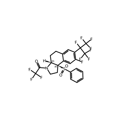 O=C(N1CC[C@@]2(S(=O)(=O)c3ccccc3)c3cc(F)c(C(F)(C(F)(F)F)C(F)(F)F)cc3CC[C@@H]12)C(F)(F)F